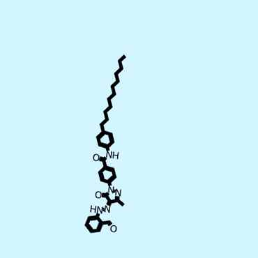 CCCCCCCCCCCCc1ccc(NC(=O)c2ccc(N3N=C(C)/C(=N/Nc4ccccc4C=O)C3=O)cc2)cc1